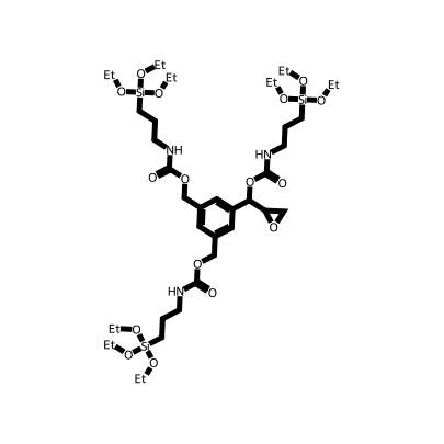 CCO[Si](CCCNC(=O)OCc1cc(COC(=O)NCCC[Si](OCC)(OCC)OCC)cc(C(OC(=O)NCCC[Si](OCC)(OCC)OCC)C2CO2)c1)(OCC)OCC